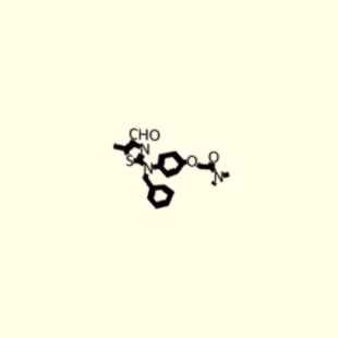 Cc1sc(N(Cc2ccccc2)c2ccc(OCC(=O)N(C)C)cc2)nc1C=O